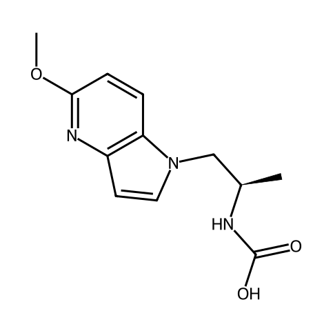 COc1ccc2c(ccn2C[C@@H](C)NC(=O)O)n1